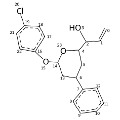 C=CC(O)C1CC(c2ccccc2)CC(Oc2ccc(Cl)cc2)O1